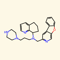 c1cnc2c(c1)CCCC2N(CCCN1CCNCC1)Cc1cc2c(cn1)oc1ccccc12